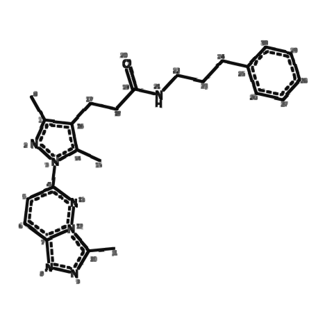 Cc1nn(-c2ccc3nnc(C)n3n2)c(C)c1CCC(=O)NCCCc1ccccc1